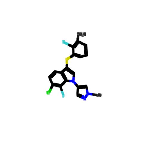 CCCn1cc(-n2cc(Sc3cccc(C(=O)O)c3F)c3ccc(Cl)c(F)c32)cn1